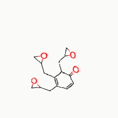 O=C1C=CC(CC2CO2)=C(CC2CO2)C1CC1CO1